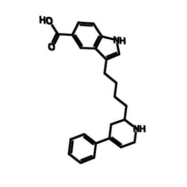 O=C(O)c1ccc2[nH]cc(CCCCC3CC(c4ccccc4)=CCN3)c2c1